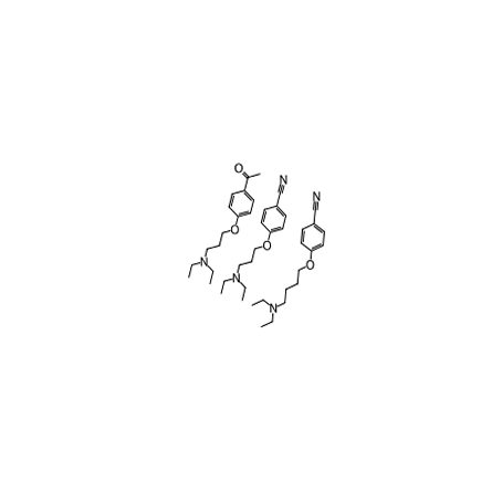 CCN(CC)CCCCOc1ccc(C#N)cc1.CCN(CC)CCCOc1ccc(C#N)cc1.CCN(CC)CCCOc1ccc(C(C)=O)cc1